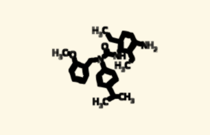 CCc1ccc(N)c(CC)c1NC(=O)N(Cc1ccccc1OC)c1ccc(C(C)C)cc1